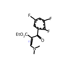 CCOC(=O)/C(=C/N(C)C)C(=O)c1cc(F)cc(F)c1F